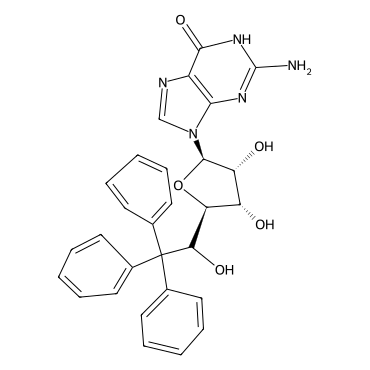 Nc1nc2c(ncn2[C@@H]2O[C@H](C(O)C(c3ccccc3)(c3ccccc3)c3ccccc3)[C@@H](O)[C@H]2O)c(=O)[nH]1